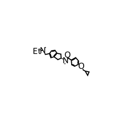 CCN(C)Cc1ccc2c(c1)C[C@H](N(C)C(=O)c1ccc(OCC3CC3)cc1)C2